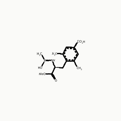 COC(=O)[C@H](Cc1c(C)cc(C(=O)O)cc1C)NB(C)O